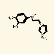 Cc1ccc(NCC[n+]2ccn(C)c2)cc1O.[Br-]